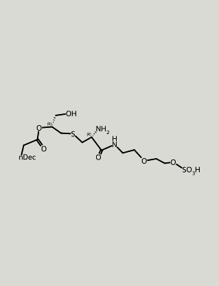 CCCCCCCCCCCC(=O)O[C@H](CO)CSC[C@H](N)C(=O)NCCOCCOS(=O)(=O)O